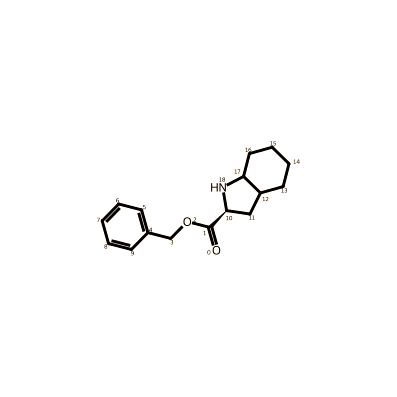 O=C(OCc1ccccc1)[C@@H]1CC2CCCCC2N1